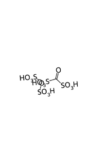 O=C(S(=O)(=O)O)S(=O)(=O)O.O=S(=O)(O)OS(=O)(=O)O